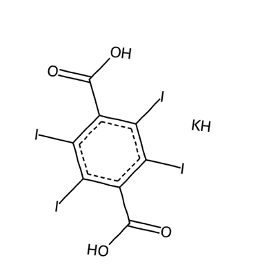 O=C(O)c1c(I)c(I)c(C(=O)O)c(I)c1I.[KH]